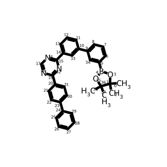 CC1(C)OB(c2cccc(-c3cccc(-c4ncnc(-c5ccc(-c6ccccc6)cc5)n4)c3)c2)OC1(C)C